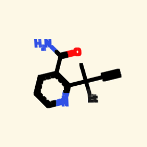 C#CC(C)(CC)c1ncccc1C(N)=O